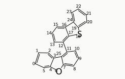 c1ccc2c(c1)oc1cccc(-c3cccc4c3sc3ccccc34)c12